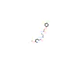 C=C(CC(C)NC(=O)COc1ccc(Cl)c(F)c1)NC(=O)c1ccc(OC(C)F)cn1